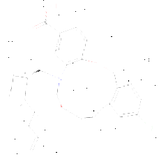 C=CC[C@@H](O)[C@@H]1CC[C@H]1CN1CCCCc2cc(Cl)ccc2COc2ccc(C(=O)O)cc21